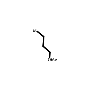 CCC[CH]COC